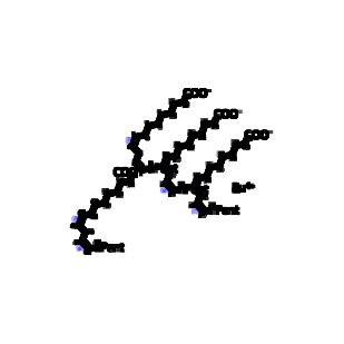 CCCCC/C=C\C/C=C\CCCCCCCC(=O)[O-].CCCCC/C=C\C/C=C\CCCCCCCC(=O)[O-].CCCCC/C=C\C/C=C\CCCCCCCC(=O)[O-].CCCCC/C=C\C/C=C\CCCCCCCC(=O)[O-].[Ru+4]